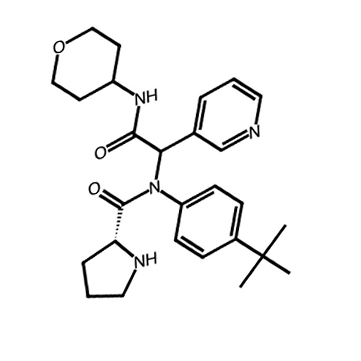 CC(C)(C)c1ccc(N(C(=O)[C@H]2CCCN2)C(C(=O)NC2CCOCC2)c2cccnc2)cc1